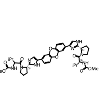 COC(=O)NC(C(=O)N1CCC[C@H]1c1ncc(-c2ccc3c(c2)Oc2ccc(-c4c[nH]c([C@@H]5CCCN5C(=O)[C@@H](NC(=O)OC)C(C)C)n4)cc2O3)[nH]1)C(C)C